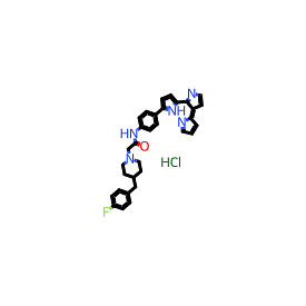 Cl.O=C(CN1CCC(Cc2ccc(F)cc2)CC1)Nc1ccc(-c2ccc(C3=NC=CC3=C3C=CC=N3)[nH]2)cc1